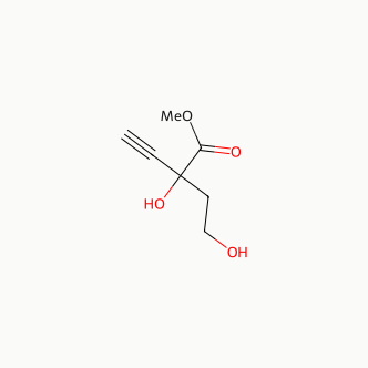 C#CC(O)(CCO)C(=O)OC